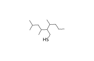 CCCC(C)C(CS)C(C)CC(C)C